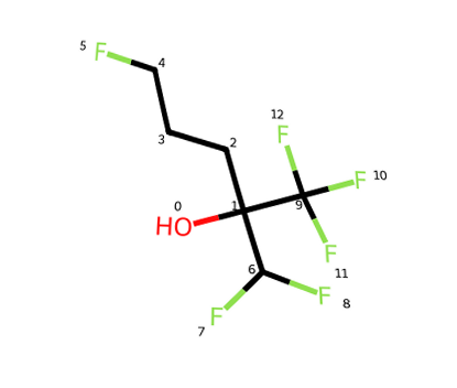 OC(CCCF)(C(F)F)C(F)(F)F